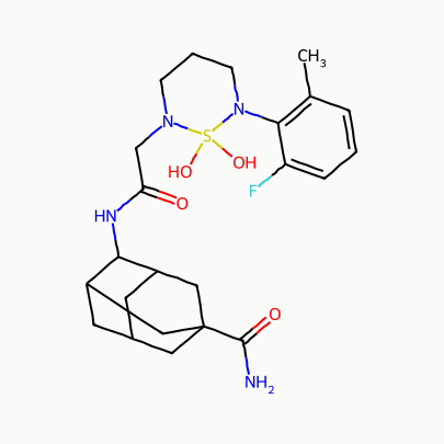 Cc1cccc(F)c1N1CCCN(CC(=O)NC2C3CC4CC2CC(C(N)=O)(C4)C3)S1(O)O